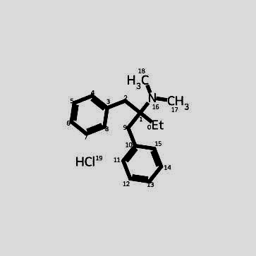 CCC(Cc1ccccc1)(Cc1ccccc1)N(C)C.Cl